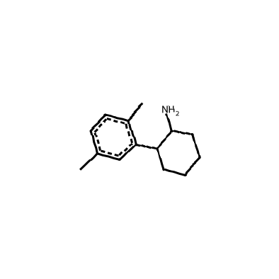 Cc1ccc(C)c(C2CCCCC2N)c1